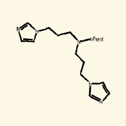 CCCCCN(CCCn1ccnc1)CCCn1ccnc1